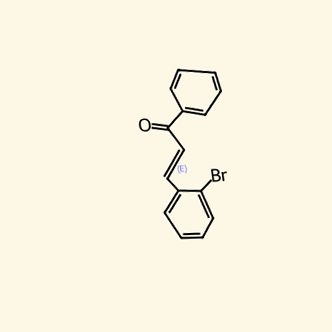 O=C(/C=C/c1ccccc1Br)c1ccccc1